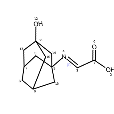 O=C(O)/C=N/C12CC3CC(CC(O)(C3)C1)C2